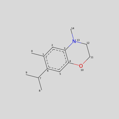 Cc1cc2c(cc1C(C)C)OCCN2C